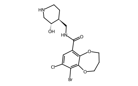 O=C(NC[C@@H]1CCNC[C@H]1O)c1cc(Cl)c(Br)c2c1OCCCO2